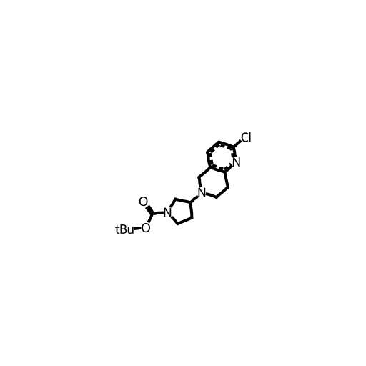 CC(C)(C)OC(=O)N1CCC(N2CCc3nc(Cl)ccc3C2)C1